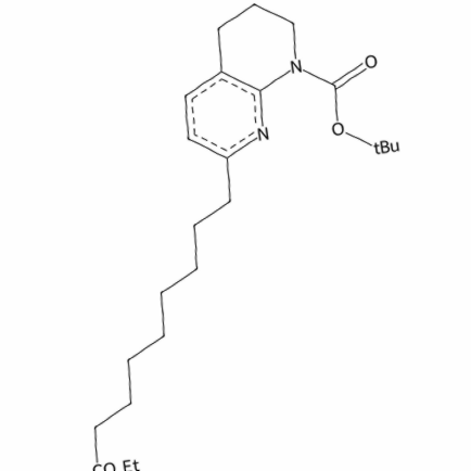 CCOC(=O)CCCCCCCCc1ccc2c(n1)N(C(=O)OC(C)(C)C)CCC2